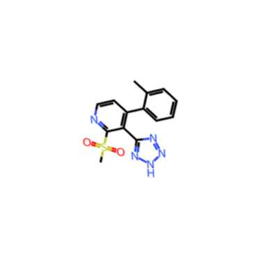 Cc1ccccc1-c1ccnc(S(C)(=O)=O)c1-c1nn[nH]n1